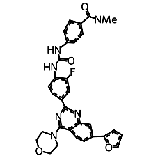 CNC(=O)c1ccc(NC(=O)Nc2ccc(-c3nc(N4CCOCC4)c4ccc(-c5ccco5)cc4n3)cc2F)cc1